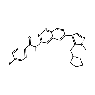 Cn1ncc(-c2ccc3nnc(NC(=O)c4ccc(F)cc4)cc3c2)c1CN1CCCC1